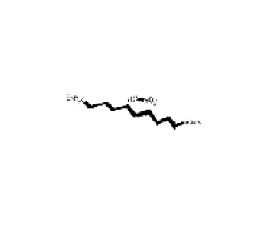 CCCCCCCCC=CCCCCCCCC(=O)OCC.O=S(=O)(O)O